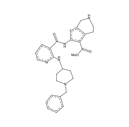 COC(=O)c1c(NC(=O)c2cccnc2NC2CCN(Cc3ccccc3)CC2)sc2c1CCNC2